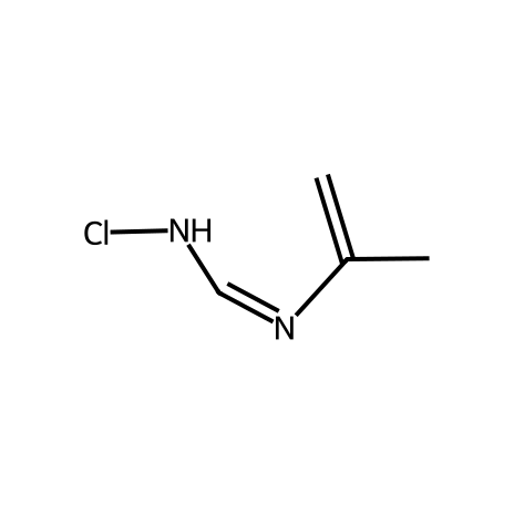 C=C(C)/N=C\NCl